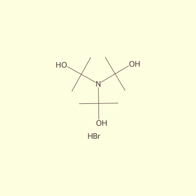 Br.CC(C)(O)N(C(C)(C)O)C(C)(C)O